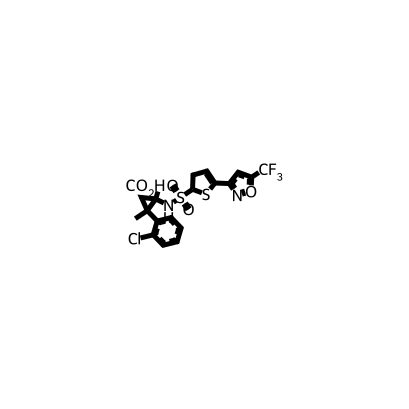 CC1(c2ccccc2Cl)CC1(NS(=O)(=O)C1CC=C(c2cc(C(F)(F)F)on2)S1)C(=O)O